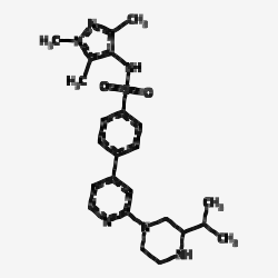 Cc1nn(C)c(C)c1NS(=O)(=O)c1ccc(-c2ccnc(N3CCNC(C(C)C)C3)c2)cc1